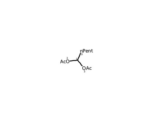 CCCCCC(OC(C)=O)OC(C)=O